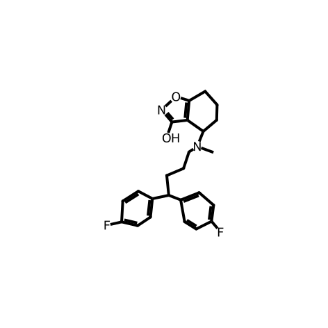 CN(CCCC(c1ccc(F)cc1)c1ccc(F)cc1)C1CCCc2onc(O)c21